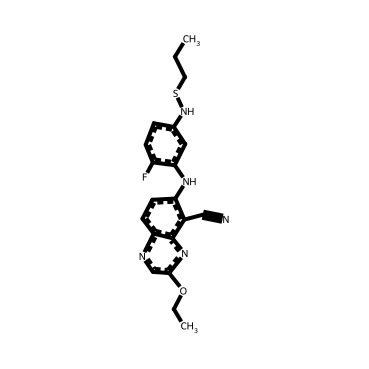 CCCSNc1ccc(F)c(Nc2ccc3ncc(OCC)nc3c2C#N)c1